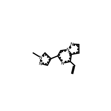 C=Cc1nc(-c2cnn(C)c2)cn2nccc12